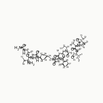 CC[C@H](C)[C@@H]([C@@H](CC(=O)N1CCC[C@H]1[C@H](OC)[C@@H](C)C(=O)N[C@H](Cc1ccccc1)C(=O)NCCc1ccc(NC(=O)[C@@H](CCCNC(N)=O)NC(=O)[C@@H](N)C(C)C)cc1)OC)N(C)C(=O)[C@H](NC(=O)[C@H](C(C)C)N(C)C)C(C)C